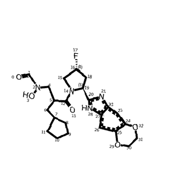 O=CN(O)CC(CC1CCCC1)C(=O)N1C[C@H](F)C[C@H]1c1nc2cc3c(cc2[nH]1)OCCO3